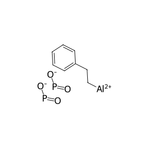 O=P[O-].O=P[O-].[Al+2][CH2]Cc1ccccc1